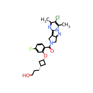 Cc1nc2c3c(nn2c(C)c1Cl)CN(C(=O)c1ccc(F)cc1O[C@H]1C[C@@H](CCCO)C1)C3